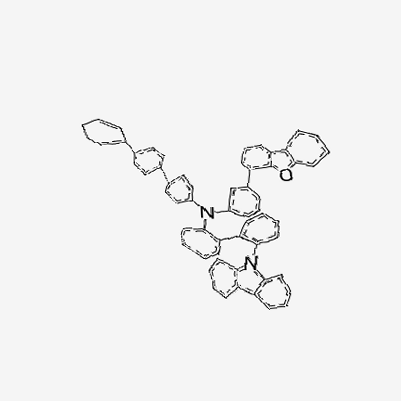 C1=CC(c2ccc(-c3ccc(N(c4cccc(-c5cccc6c5oc5ccccc56)c4)c4ccccc4-c4ccccc4-n4c5ccccc5c5ccccc54)cc3)cc2)=CCC1